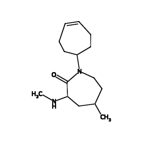 CNC1CC(C)CCN(C2CCC=CCC2)C1=O